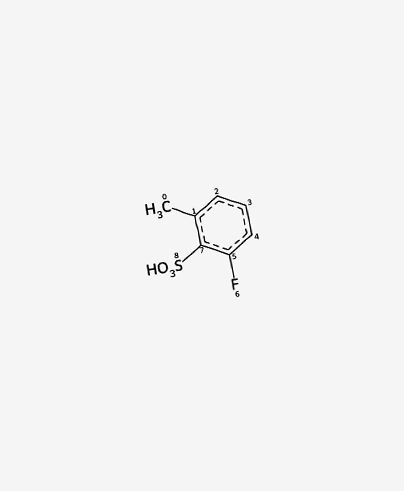 Cc1cccc(F)c1S(=O)(=O)O